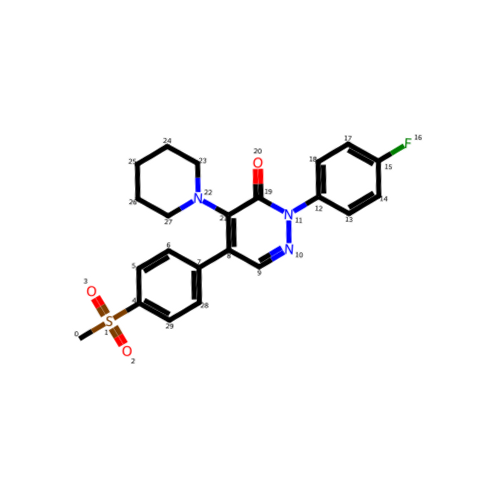 CS(=O)(=O)c1ccc(-c2cnn(-c3ccc(F)cc3)c(=O)c2N2CCCCC2)cc1